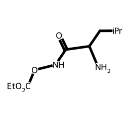 CCOC(=O)ONC(=O)C(N)CC(C)C